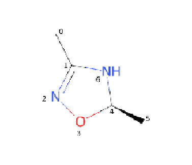 CC1=NO[C@H](C)N1